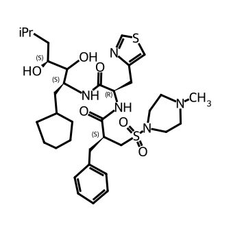 CC(C)C[C@H](O)C(O)[C@H](CC1CCCCC1)NC(=O)[C@@H](Cc1cscn1)NC(=O)[C@H](Cc1ccccc1)CS(=O)(=O)N1CCN(C)CC1